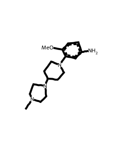 COc1ccc(N)cc1N1CCC(N2CCN(C)CC2)CC1